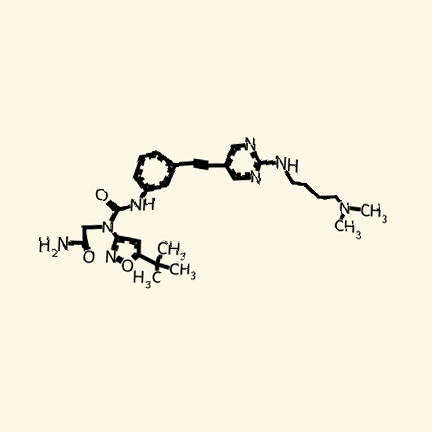 CN(C)CCCCNc1ncc(C#Cc2cccc(NC(=O)N(CC(N)=O)c3cc(C(C)(C)C)on3)c2)cn1